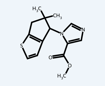 COC(=O)c1cncn1C1c2ccsc2CC1(C)C